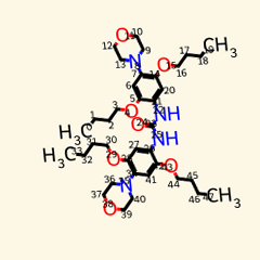 CCCCOc1cc(N2CCOCC2)c(OCCCC)cc1NC(=O)Nc1cc(OCCCC)c(N2CCOCC2)cc1OCCCC